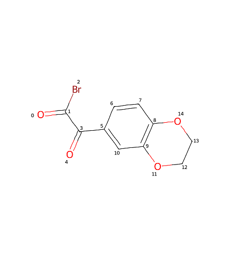 O=C(Br)C(=O)c1ccc2c(c1)OCCO2